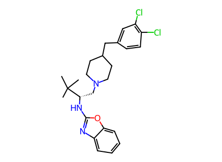 CC(C)(C)[C@H](CN1CCC(Cc2ccc(Cl)c(Cl)c2)CC1)Nc1nc2ccccc2o1